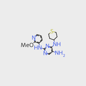 COc1ncccc1Nc1ncc(N)c(NC2CCSCC2)n1